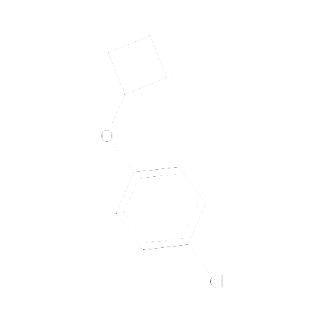 Clc1ccc(OC2[CH]CC2)cc1